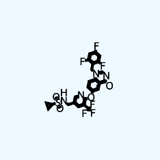 O=c1ncn(Cc2c(F)cc(F)cc2F)c2ccc(Oc3ncc(CNS(=O)(=O)C4CC4)cc3C(F)(F)F)cc12